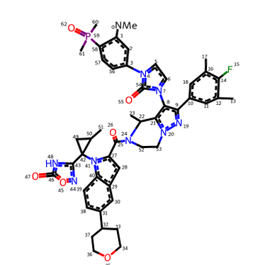 CNc1cc(-n2ccn(-c3c(-c4cc(C)c(F)c(C)c4)nn4c3C(C)N(C(=O)c3cc5cc(C6CCOCC6)ccc5n3C3(c5noc(=O)[nH]5)CC3C)CC4)c2=O)ccc1P(C)(C)=O